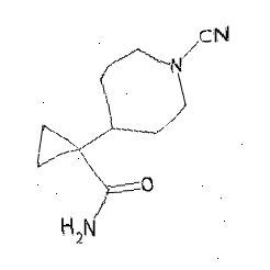 N#CN1CCC(C2(C(N)=O)CC2)CC1